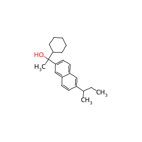 CCC(C)c1ccc2cc(C(C)(O)C3CCCCC3)ccc2c1